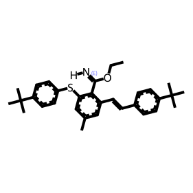 [H]/N=C(/OCC)c1c(C=Cc2ccc(C(C)(C)C)cc2)cc(C)cc1Sc1ccc(C(C)(C)C)cc1